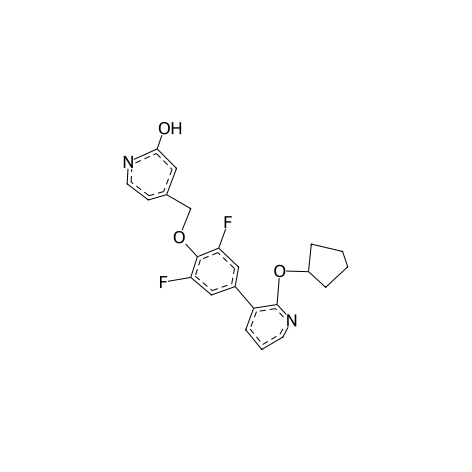 Oc1cc(COc2c(F)cc(-c3cccnc3OC3CCCC3)cc2F)ccn1